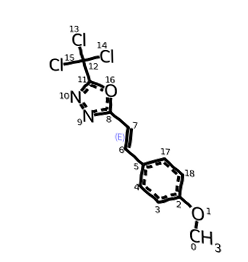 COc1ccc(/C=C/c2nnc(C(Cl)(Cl)Cl)o2)cc1